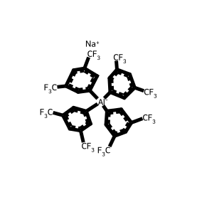 FC(F)(F)c1cc(C(F)(F)F)c[c]([Al-]([c]2cc(C(F)(F)F)cc(C(F)(F)F)c2)([c]2cc(C(F)(F)F)cc(C(F)(F)F)c2)[c]2cc(C(F)(F)F)cc(C(F)(F)F)c2)c1.[Na+]